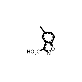 Cc1ccc2onc(C(=O)O)c2c1